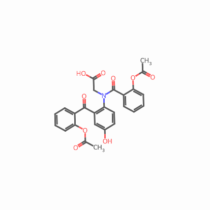 CC(=O)Oc1ccccc1C(=O)c1cc(O)ccc1N(CC(=O)O)C(=O)c1ccccc1OC(C)=O